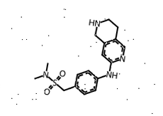 CN(C)S(=O)(=O)Cc1ccc(Nc2cc3c(cn2)CCNC3)cc1